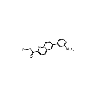 CC(=O)Nc1cc(-c2ccc3nc(C(=O)CC(C)C)ccc3c2)ccn1